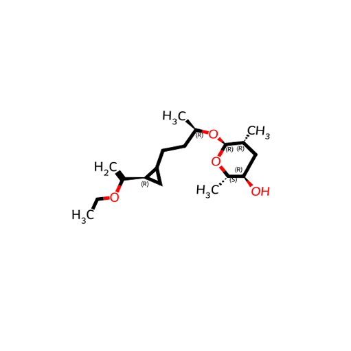 C=C(OCC)[C@@H]1CC1CC[C@@H](C)O[C@@H]1O[C@@H](C)[C@H](O)C[C@H]1C